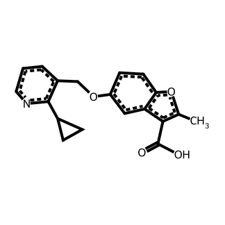 Cc1oc2ccc(OCc3cccnc3C3CC3)cc2c1C(=O)O